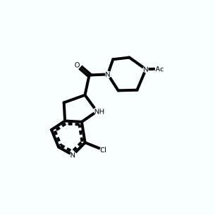 CC(=O)N1CCN(C(=O)C2Cc3ccnc(Cl)c3N2)CC1